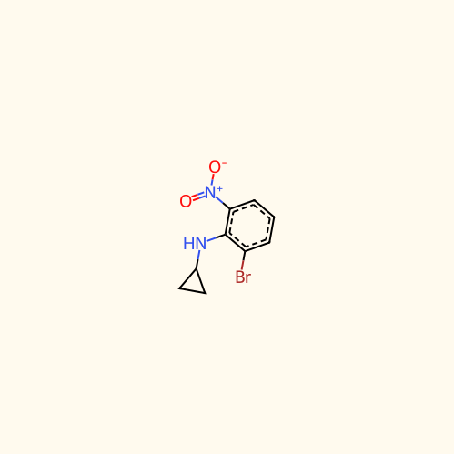 O=[N+]([O-])c1cccc(Br)c1NC1CC1